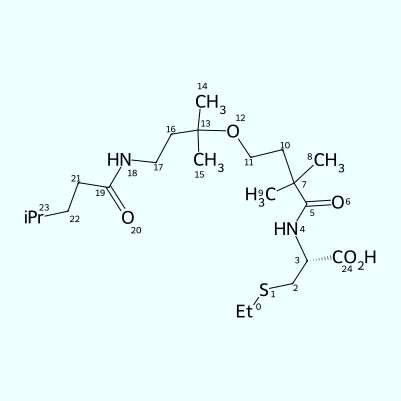 CCSC[C@H](NC(=O)C(C)(C)CCOC(C)(C)CCNC(=O)CCC(C)C)C(=O)O